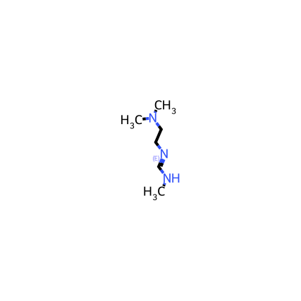 CN/C=N/CCN(C)C